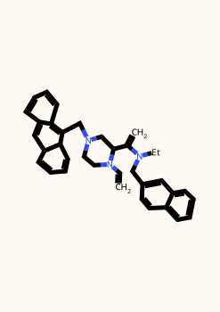 C=CN1CCN(CC2=c3ccccc3=CC3C=CC=CC23)CC1C(=C)N(CC)Cc1ccc2ccccc2c1